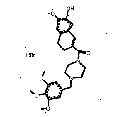 Br.COc1cc(CN2CCN(C(=O)C3=Cc4cc(O)c(O)cc4CC3)CC2)cc(OC)c1OC